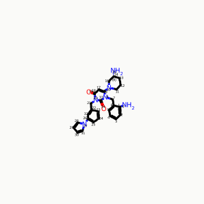 Nc1ccccc1Cn1c(N2CCC[C@@H](N)C2)cc(=O)n(Cc2cccc(-n3cccc3)c2)c1=O